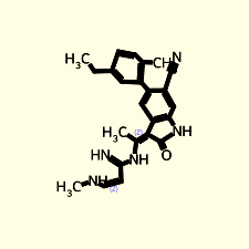 CCc1ccc(C)c(-c2cc3c(cc2C#N)NC(=O)/C3=C(/C)NC(=N)/C=C\NC)c1